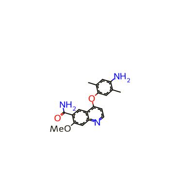 COc1cc2nccc(Oc3cc(C)c(N)cc3C)c2cc1C(N)=O